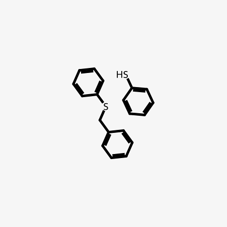 Sc1ccccc1.c1ccc(CSc2ccccc2)cc1